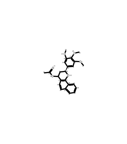 COc1cc([C@@H]2CC(OC(C)=O)c3ccc4ccccc4c3O2)cc(OC)c1OC